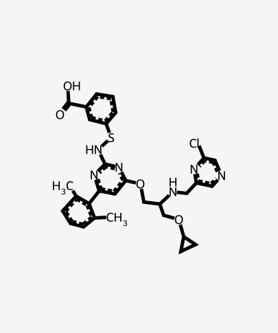 Cc1cccc(C)c1-c1cc(OCC(COC2CC2)NCc2cncc(Cl)n2)nc(NSc2cccc(C(=O)O)c2)n1